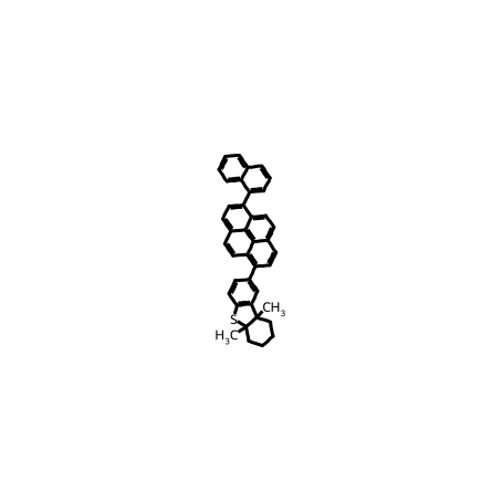 CC12CCCCC1(C)c1cc(-c3ccc4ccc5c(-c6cccc7ccccc67)ccc6ccc3c4c65)ccc1S2